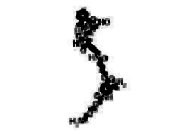 CC(N)c1cc(NC(=O)COCCOCCN)ccc1C(=O)OCCCCC(=O)NCC#Cc1cn([C@H](O)C[C@H](CC=O)OC(=O)c2ccccc2C(C)N)c(=O)[nH]c1=O